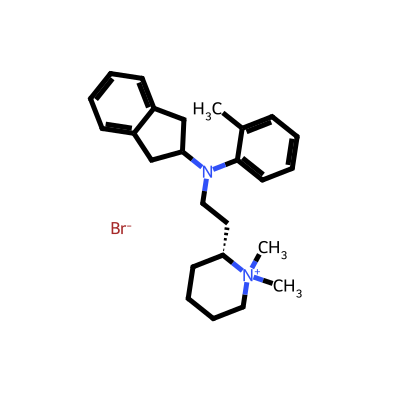 Cc1ccccc1N(CC[C@H]1CCCC[N+]1(C)C)C1Cc2ccccc2C1.[Br-]